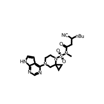 CCCCC(C#N)CC(=O)N(C)S(=O)(=O)N1CCN(c2ncnc3[nH]ccc23)CC12CC2